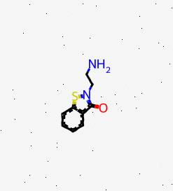 NCCn1sc2ccccc2c1=O